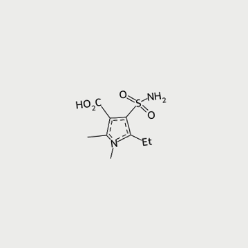 CCc1c(S(N)(=O)=O)c(C(=O)O)c(C)n1C